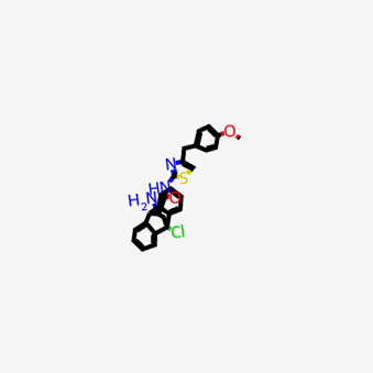 COc1ccc(Cc2csc(NC(=O)C3(N)CC4(Cl)c5ccccc5C3c3ccccc34)n2)cc1